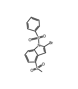 CS(=O)(=O)c1cccc2c1cc(Br)n2S(=O)(=O)c1ccccc1